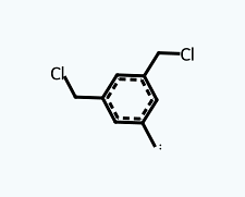 [CH]c1cc(CCl)cc(CCl)c1